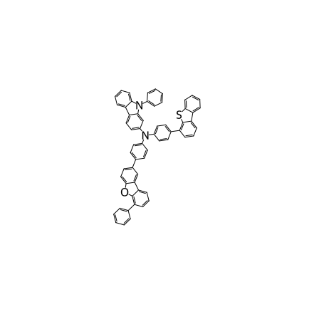 c1ccc(-c2cccc3c2oc2ccc(-c4ccc(N(c5ccc(-c6cccc7c6sc6ccccc67)cc5)c5ccc6c7ccccc7n(-c7ccccc7)c6c5)cc4)cc23)cc1